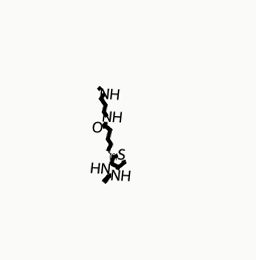 C=C1NC2CS[C@@H](CCCCC(=O)NCCCNC)C2N1